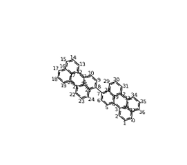 [c]1ccc2c3ccc(-c4ccc5c6cccc7[c]ccc(c8cccc4c85)c76)c4cccc(c5cccc1c52)c43